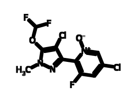 Cn1nc(-c2c(F)cc(Cl)c[n+]2[O-])c(Cl)c1OC(F)F